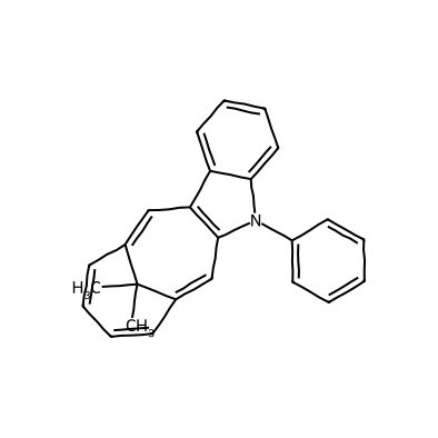 CC1(C)C2=Cc3c(n(-c4ccccc4)c4ccccc34)C=C1C=CC=C2